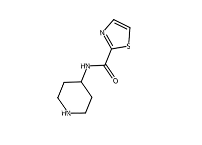 O=C(NC1CCNCC1)c1nccs1